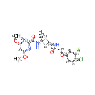 COc1cc(OC)nc(C(=O)NC2(C)CC(NC(=O)COc3ccc(Cl)c(F)c3)C2)n1